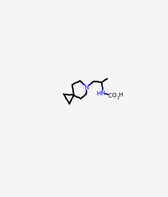 CC(CN1CCC2(CC1)CC2)NC(=O)O